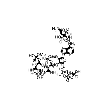 COP(=O)(O)OC(C)NC(=N)N.COP(=O)(O)OC(C)NC(=N)NP(=O)(O)O.NCCC(O)(P(=O)(O)O)P(=O)(O)O.Nc1ncnc2c1ncn2[C@@H]1O[C@H](COP(=O)(O)OP(=O)(O)OP(=O)(O)O)[C@@H](O)[C@H]1O